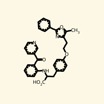 Cc1oc(-c2ccccc2)nc1CCOc1ccc(CC(Nc2ccccc2C(=O)c2cccnc2)C(=O)O)cc1